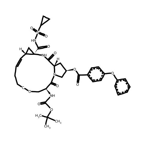 CC(C)(C)OC(=O)N[C@H]1COCCC/C=C\[C@@H]2C[C@@]2(C(=O)NS(=O)(=O)C2CC2)NC(=O)[C@@H]2C[C@@H](OC(=O)c3ccc(Oc4ccccc4)cc3)CN2C1=O